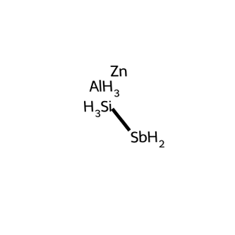 [AlH3].[SiH3][SbH2].[Zn]